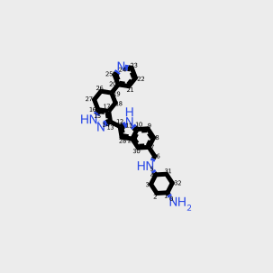 NC1CCC(NCc2ccc3[nH]c(-c4n[nH]c5c4CC(c4cccnc4)CC5)cc3c2)CC1